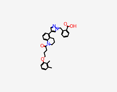 Cc1cccc(OCCCC(=O)N2CCCc3c(-c4cnn(Cc5ccccc5C(=O)O)c4)cccc32)c1C